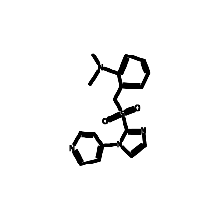 CN(C)c1ccccc1CS(=O)(=O)c1nccn1-c1ccncc1